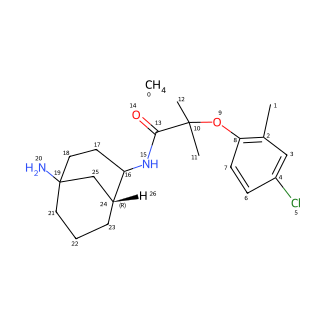 C.Cc1cc(Cl)ccc1OC(C)(C)C(=O)NC1CCC2(N)CCC[C@@H]1C2